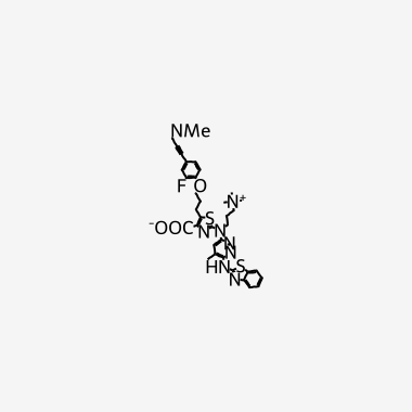 CNCC#Cc1ccc(OCCCc2sc(N(CCC[N+](C)(C)C)c3cc(C)c(Nc4nc5ccccc5s4)nn3)nc2C(=O)[O-])c(F)c1